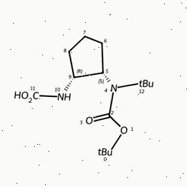 CC(C)(C)OC(=O)N([C@H]1CCC[C@H]1NC(=O)O)C(C)(C)C